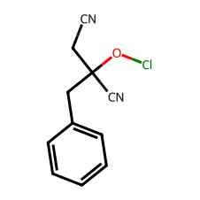 N#CCC(C#N)(Cc1ccccc1)OCl